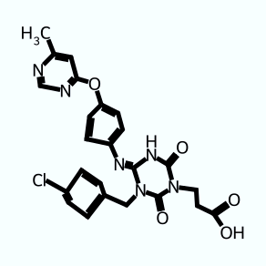 Cc1cc(Oc2ccc(/N=c3\[nH]c(=O)n(CCC(=O)O)c(=O)n3Cc3ccc(Cl)cc3)cc2)ncn1